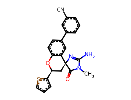 [C-]#[N+]c1cccc(-c2ccc3c(c2)[C@]2(C[C@@H](c4cccs4)O3)N=C(N)N(C)C2=O)c1